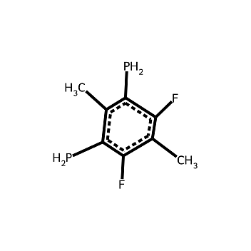 Cc1c(F)c(P)c(C)c(P)c1F